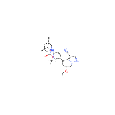 CCOc1cc(-c2ccc(N3C[C@H]4C[C@@H](C3)C4NC(=O)OC(C)(C)C)nc2)c2c(C#N)cnn2c1